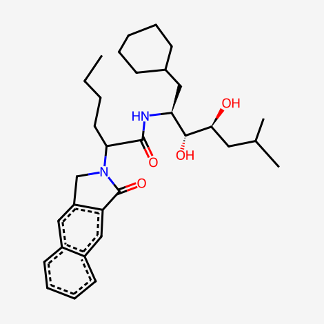 CCCCC(C(=O)N[C@@H](CC1CCCCC1)[C@@H](O)[C@@H](O)CC(C)C)N1Cc2cc3ccccc3cc2C1=O